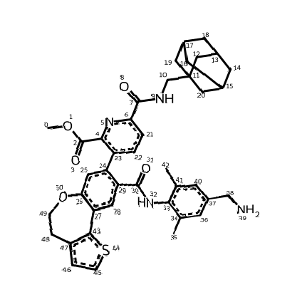 COC(=O)c1nc(C(=O)NCC23CC4CC(CC(C4)C2)C3)ccc1-c1cc2c(cc1C(=O)Nc1c(C)cc(CN)cc1C)-c1sccc1CCO2